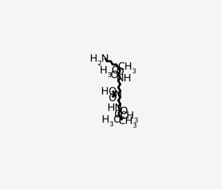 CC(C)(C)OC(=O)NCCCN(CCCCNC(=O)OC(C)(C)CCCCN)C(=O)O